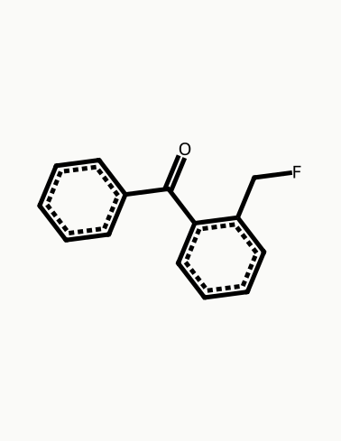 O=C(c1ccccc1)c1ccccc1CF